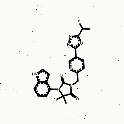 CC1(C)C(=O)N(Cc2ccc(-c3nnc(C(F)F)o3)cn2)C(=O)N1c1cccc2[nH]ccc12